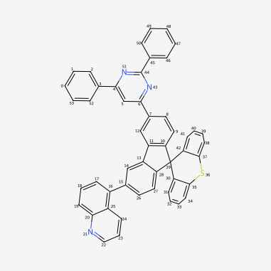 c1ccc(-c2cc(-c3ccc4c(c3)-c3cc(-c5cccc6ncccc56)ccc3C43c4ccccc4Sc4ccccc43)nc(-c3ccccc3)n2)cc1